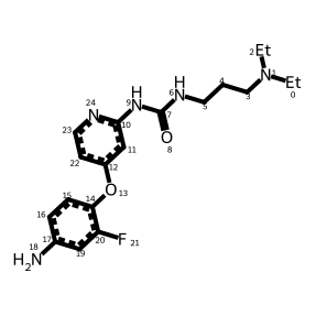 CCN(CC)CCCNC(=O)Nc1cc(Oc2ccc(N)cc2F)ccn1